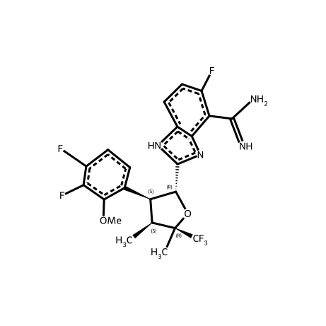 COc1c([C@H]2[C@H](c3nc4c(C(=N)N)c(F)ccc4[nH]3)O[C@@](C)(C(F)(F)F)[C@H]2C)ccc(F)c1F